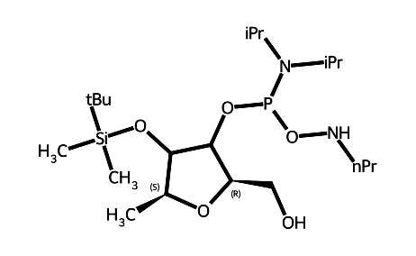 CCCNOP(OC1C(O[Si](C)(C)C(C)(C)C)[C@H](C)O[C@@H]1CO)N(C(C)C)C(C)C